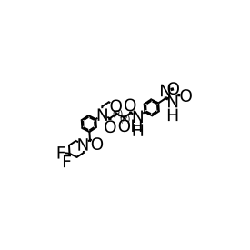 O=C(Nc1ccc(-c2noc(=O)[nH]2)cc1)[C@H](O)[C@H]1OCCN(c2cccc(C(=O)N3CCC(F)(F)CC3)c2)C1=O